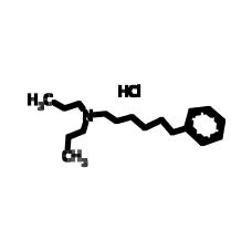 CCCN(CCC)CCCCCCc1ccccc1.Cl